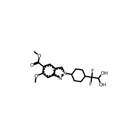 COC(=O)c1cc2cn(C3CCC(C(F)(F)C(O)O)CC3)nc2cc1OC